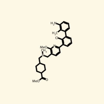 COC(=O)C1CCC(CN(C)Cc2ccc(-c3cccc(-c4cccc(N)c4C)c3Cl)nc2OC)CC1